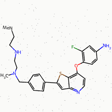 CNCCNCCN(C)Cc1ccc(-c2cc3nccc(Oc4ccc(N)cc4F)c3s2)cc1